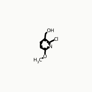 COc1ccc(CO)c(Cl)n1